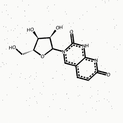 O=c1ccc2cn(C3O[C@H](CO)[C@@H](O)[C@H]3O)c(=O)[nH]c-2n1